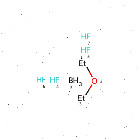 B.CCOCC.F.F.F.F